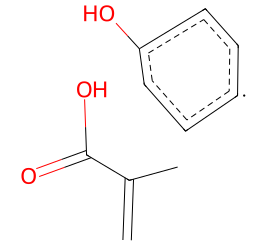 C=C(C)C(=O)O.Oc1cc[c]cc1